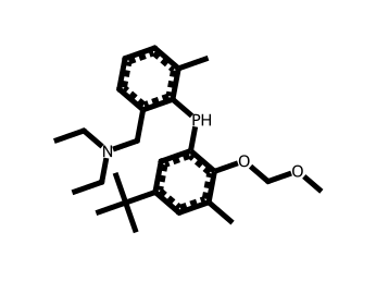 CCN(CC)Cc1cccc(C)c1Pc1cc(C(C)(C)C)cc(C)c1OCOC